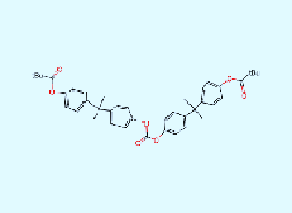 CC(C)(C)C(=O)Oc1ccc(C(C)(C)c2ccc(OC(=O)Oc3ccc(C(C)(C)c4ccc(OC(=O)C(C)(C)C)cc4)cc3)cc2)cc1